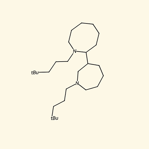 CC(C)(C)CCCN1CCCCC(C2CCCCCCN2CCCC(C)(C)C)C1